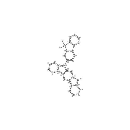 CC1(C)c2ccccc2-c2ccc(-n3c4ccccc4c4cc5c(cc43)oc3ccccc35)cc21